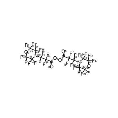 O=C(OOC(=O)C(F)(F)C(F)(F)N1C(F)(F)C(F)(F)OC(F)(F)C1(F)F)C(F)(F)C(F)(F)N1C(F)(F)C(F)(F)OC(F)(F)C1(F)F